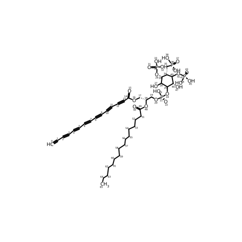 C#CC#CC#CC#CC#CC#CC#CC(=O)OC[C@H](COP(=O)(O)OC1C(O)[C@H](OP(=O)(O)O)[C@H](CP(=O)(O)O)C(OP(=O)(O)O)[C@@H]1O)OC(=O)CCCCCCCCCCCCCCC